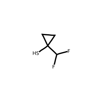 FC(F)C1(S)CC1